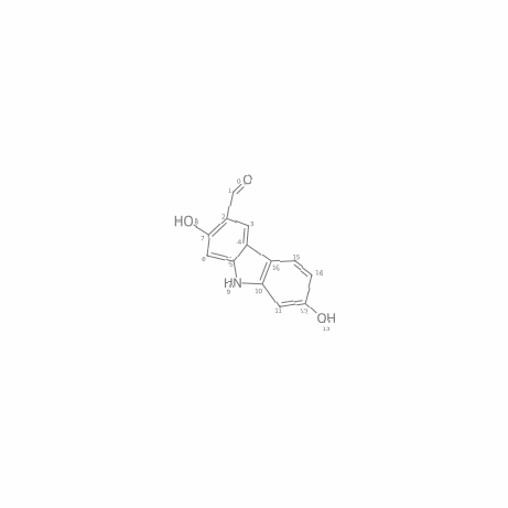 O=Cc1cc2c(cc1O)[nH]c1cc(O)ccc12